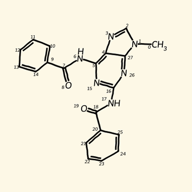 Cn1cnc2c(NC(=O)c3ccccc3)nc(NC(=O)c3ccccc3)nc21